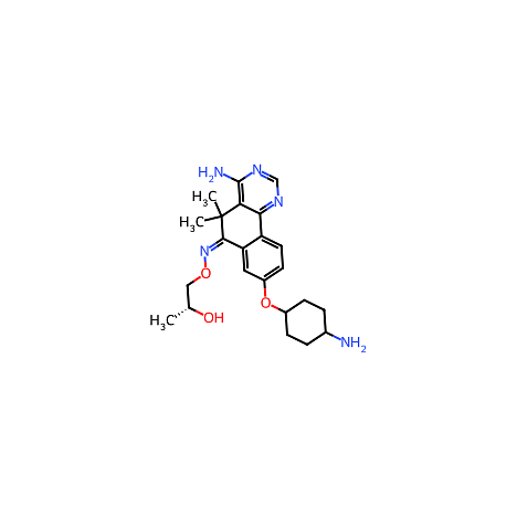 C[C@@H](O)CO/N=C1\c2cc(OC3CCC(N)CC3)ccc2-c2ncnc(N)c2C1(C)C